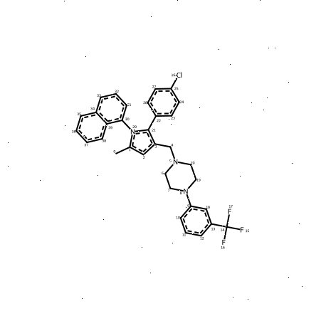 Cc1cc(CN2CCN(c3cccc(C(F)(F)F)c3)CC2)c(-c2ccc(Cl)cc2)n1-c1cccc2ccccc12